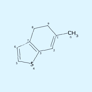 CC1=Cc2sccc2CC1